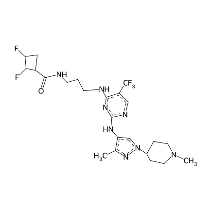 Cc1nn(C2CCN(C)CC2)cc1Nc1ncc(C(F)(F)F)c(NCCCNC(=O)C2CC(F)C2F)n1